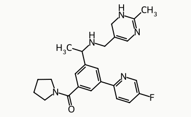 CC1=NC=C(CNC(C)c2cc(C(=O)N3CCCC3)cc(-c3ccc(F)cn3)c2)CN1